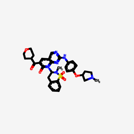 CN1CCC(Oc2ccc(Nc3ncc4cc(C(=O)C5CCOCC5)c(=O)n(C5Cc6ccccc6S(=O)(=O)N5C)c4n3)cc2)C1